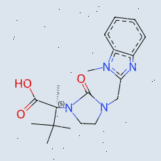 Cn1c(CN2CCN([C@](C)(C(=O)O)C(C)(C)C)C2=O)nc2ccccc21